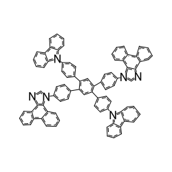 c1ccc2c(c1)c1ccccc1c1c2ncn1-c1ccc(-c2cc(-c3ccc(-n4c5ccccc5c5ccccc54)cc3)c(-c3ccc(-n4cnc5c6ccccc6c6ccccc6c54)cc3)cc2-c2ccc(-n3c4ccccc4c4ccccc43)cc2)cc1